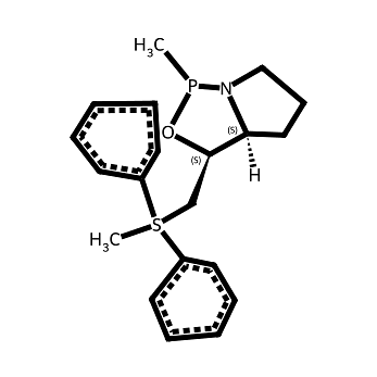 CP1O[C@H](CS(C)(c2ccccc2)c2ccccc2)[C@@H]2CCCN21